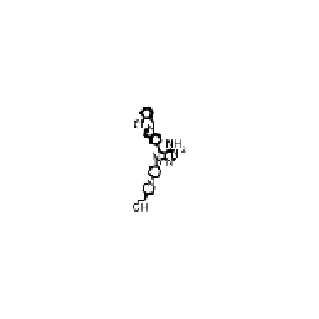 Nc1ncnc2c1c(-c1ccc3c(ccn3Cc3ccccc3Cl)c1)nn2C1CCC(N2CCC(CCO)CC2)CC1